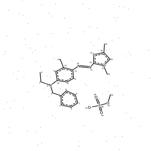 CCN(Cc1ccccc1)c1ccc(N=Nc2sc(C)c[n+]2C)c(C)c1.COS(=O)(=O)[O-]